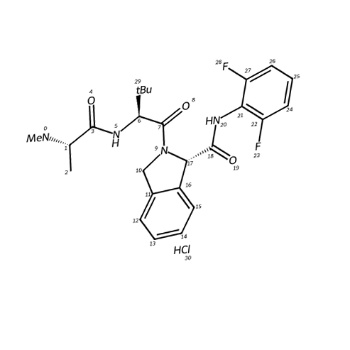 CN[C@@H](C)C(=O)N[C@H](C(=O)N1Cc2ccccc2[C@H]1C(=O)Nc1c(F)cccc1F)C(C)(C)C.Cl